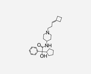 O=C(NC1CCN(CCC=C2CCC2)CC1)C(O)(c1ccccc1)C1CCCC1